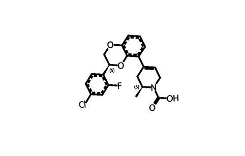 C[C@H]1CC(c2cccc3c2O[C@@H](c2ccc(Cl)cc2F)CO3)=CCN1C(=O)O